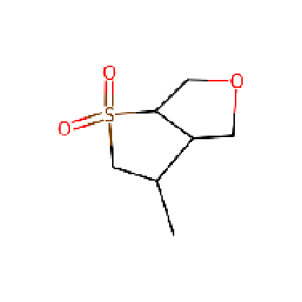 CC1CS(=O)(=O)C2COCC12